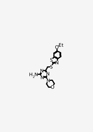 CCOc1ccc2nc(SCc3nc(N)nc(N4CCOCC4)n3)sc2c1